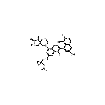 CCc1c(F)ccc2cc(O)cc(-c3ccc4c(N5CCCC6(CNC(=O)N6)C5)nc(OCC5(CN(C)C)CC5)nc4c3F)c12